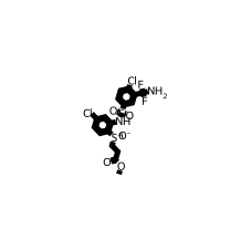 COC(=O)CC[S+]([O-])c1ccc(Cl)cc1NS(=O)(=O)c1ccc(Cl)c(C(N)(F)F)c1